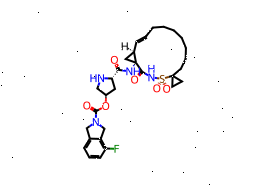 O=C(N[C@]12C[C@H]1/C=C/CCCCCCCC1(CC1)S(=O)(=O)NC2=O)[C@@H]1C[C@@H](OC(=O)N2Cc3cccc(F)c3C2)CN1